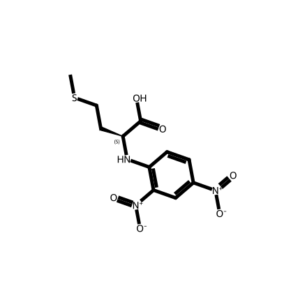 CSCC[C@H](Nc1ccc([N+](=O)[O-])cc1[N+](=O)[O-])C(=O)O